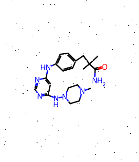 CN1CCN(Nc2cc(Nc3ccc(CC(C)(C)C(N)=O)cc3)ncn2)CC1